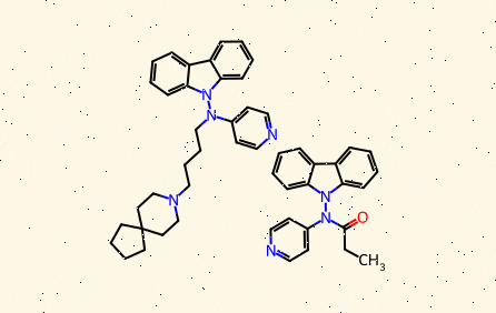 CCC(=O)N(c1ccncc1)n1c2ccccc2c2ccccc21.c1ccc2c(c1)c1ccccc1n2N(CCCCN1CCC2(CCCC2)CC1)c1ccncc1